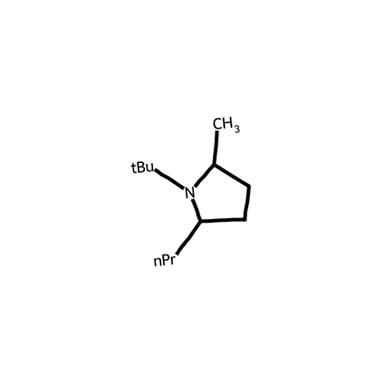 CCCC1CCC(C)N1C(C)(C)C